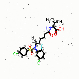 CC(C)[C@H](NC(=O)CCCC[C@@H](C)N(c1cc(Cl)ccc1F)S(=O)(=O)c1ccc(Cl)cc1)C(=O)O